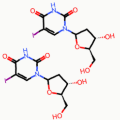 O=c1[nH]c(=O)n(C2C[C@H](O)[C@@H](CO)O2)cc1I.O=c1[nH]c(=O)n(C2C[C@H](O)[C@@H](CO)O2)cc1I